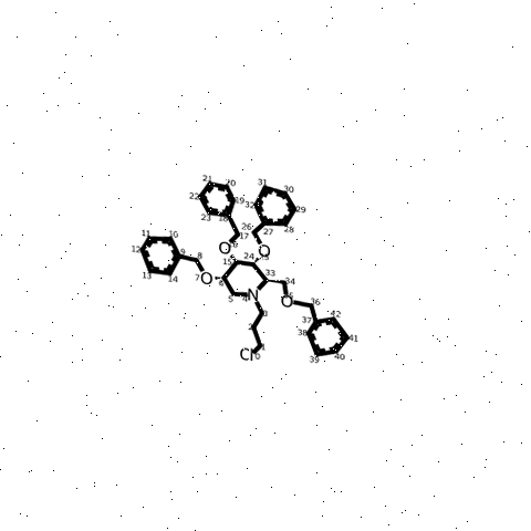 ClCCCN1C[C@H](OCc2ccccc2)[C@@H](OCc2ccccc2)[C@H](OCc2ccccc2)[C@H]1COCc1ccccc1